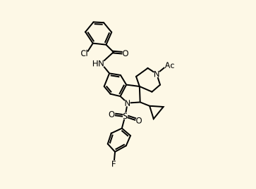 CC(=O)N1CCC2(CC1)c1cc(NC(=O)c3ccccc3Cl)ccc1N(S(=O)(=O)c1ccc(F)cc1)C2C1CC1